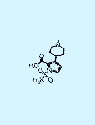 CN1CCC(c2ccn(S(N)(=O)=O)c2C(=O)O)CC1